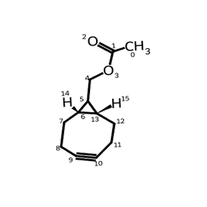 CC(=O)OCC1[C@H]2CCC#CCC[C@@H]12